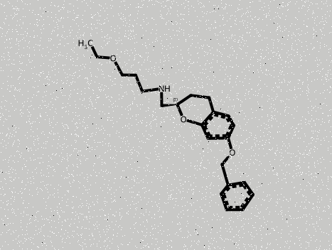 CCOCCCNC[C@H]1CCc2ccc(OCc3ccccc3)cc2O1